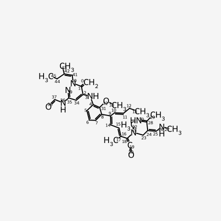 C=C1C(Nc2cccc(C(/C=C/CC)=C/C=C(\C)C(=C=O)N(C)C/C(=C/NC)C(C)=N)c2OC)=CC(NC=O)=NN1/C=C(/C)CC